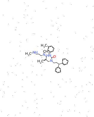 C=C(CN(C)CCCNC)CN(CCC(c1ccccc1)c1ccccc1)C(=O)Nc1cccc(C)c1